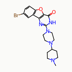 CN1CCC(N2CCN(c3nc4c(oc5ccc(Br)cc54)c(=O)[nH]3)CC2)CC1